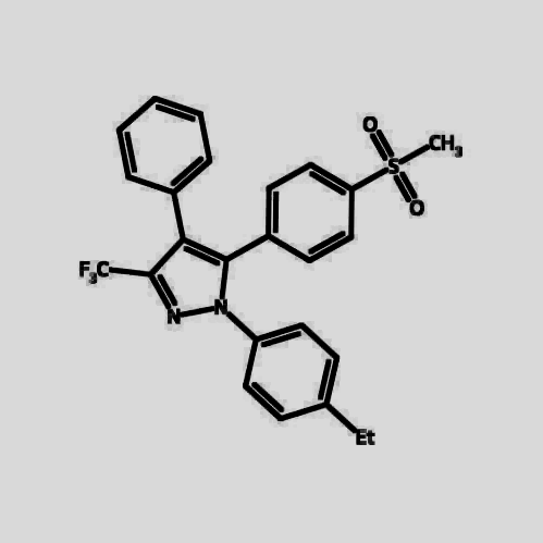 CCc1ccc(-n2nc(C(F)(F)F)c(-c3ccccc3)c2-c2ccc(S(C)(=O)=O)cc2)cc1